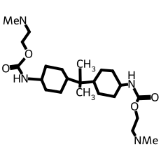 CNCCOC(=O)NC1CCC(C(C)(C)C2CCC(NC(=O)OCCNC)CC2)CC1